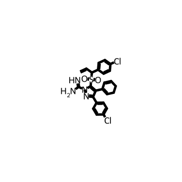 C=CC(c1ccc(Cl)cc1)S(=O)(=O)c1c(C2=CCCC=C2)c(-c2ccc(Cl)cc2)nn1C(=N)N